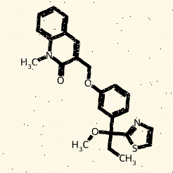 CCC(OC)(c1cccc(OCc2cc3ccccc3n(C)c2=O)c1)c1nccs1